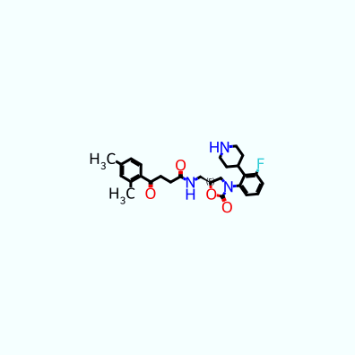 Cc1ccc(C(=O)CCC(=O)NC[C@H]2CN(c3cccc(F)c3C3CCNCC3)C(=O)O2)c(C)c1